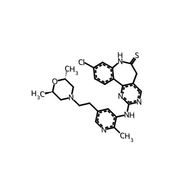 Cc1ncc(CCN2C[C@@H](C)O[C@H](C)C2)cc1Nc1ncc2c(n1)-c1ccc(Cl)cc1NC(=S)C2